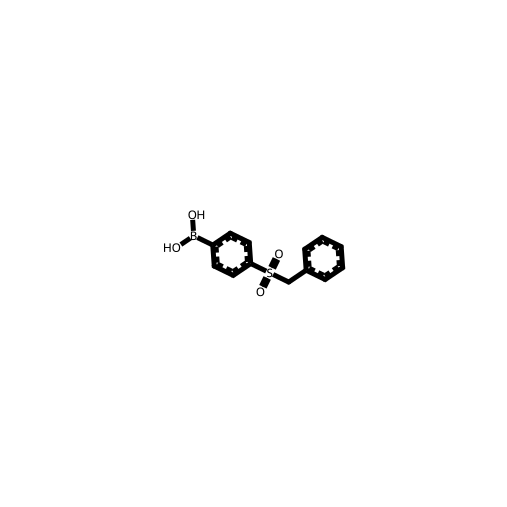 O=S(=O)(Cc1ccccc1)c1ccc(B(O)O)cc1